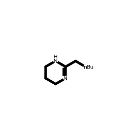 CCCCCC1=NCCCN1